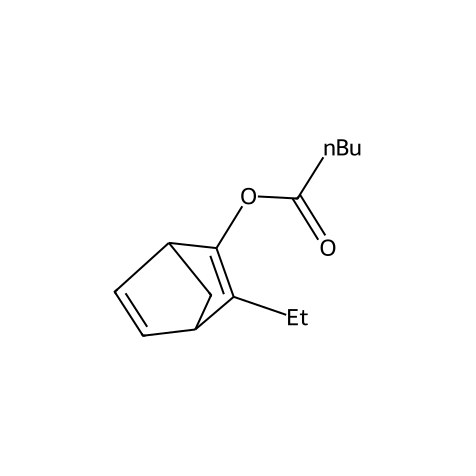 CCCCC(=O)OC1=C(CC)C2C=CC1C2